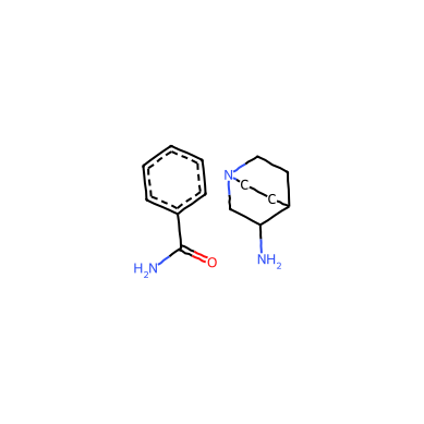 NC(=O)c1ccccc1.NC1CN2CCC1CC2